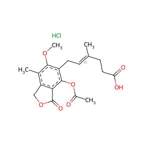 COc1c(C)c2c(c(OC(C)=O)c1C/C=C(\C)CCC(=O)O)C(=O)OC2.Cl